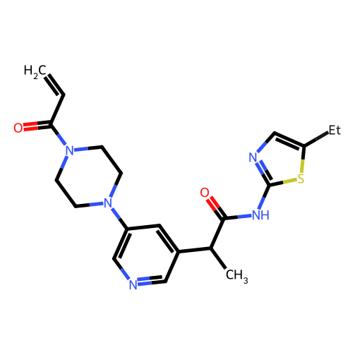 C=CC(=O)N1CCN(c2cncc(C(C)C(=O)Nc3ncc(CC)s3)c2)CC1